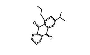 CCCc1cc(C(C)C)cc2c1C(=O)c1ccccc1C2=O